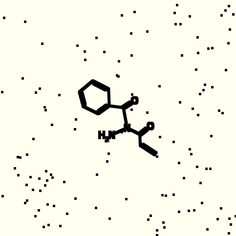 C=CC(=O)N(N)C(=O)c1ccccc1